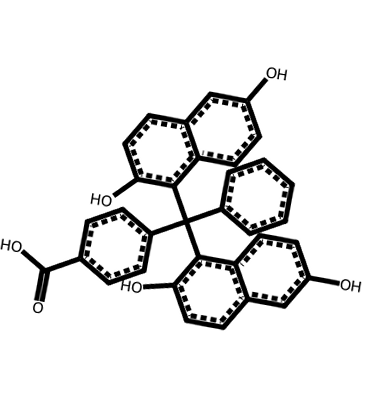 O=C(O)c1ccc(C(c2ccccc2)(c2c(O)ccc3cc(O)ccc23)c2c(O)ccc3cc(O)ccc23)cc1